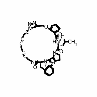 CC(C)C[C@H]1NC(=O)c2ccccc2OCc2cn(nn2)CCCCCCCCNC(=O)[C@H](Cc2ccccc2)N(C)C(=O)[C@H]2CCCN2C1=O